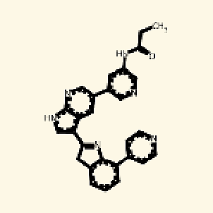 CCC(=O)Nc1cncc(-c2cnc3[nH]cc(C4=Nc5c(cccc5-c5ccncc5)C4)c3c2)c1